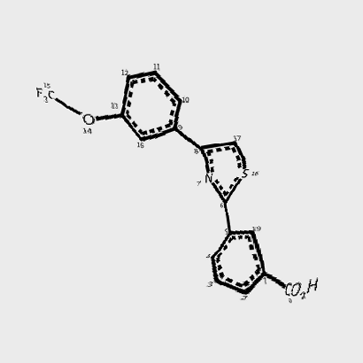 O=C(O)c1cccc(-c2nc(-c3cccc(OC(F)(F)F)c3)cs2)c1